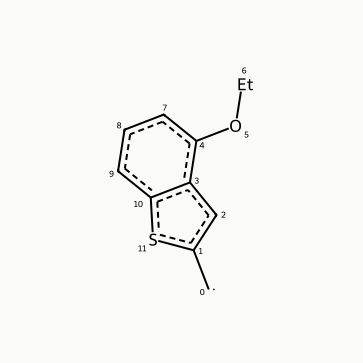 [CH2]c1cc2c(OCC)cccc2s1